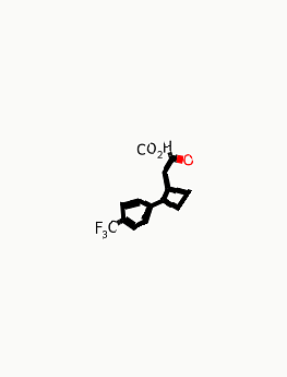 O=C(O)C(=O)CC1CCC1c1ccc(C(F)(F)F)cc1